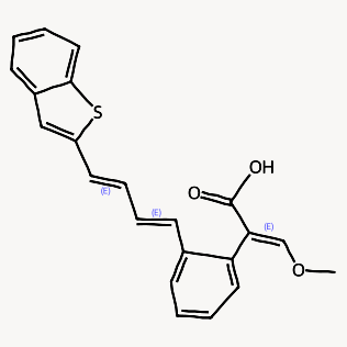 CO/C=C(/C(=O)O)c1ccccc1/C=C/C=C/c1cc2ccccc2s1